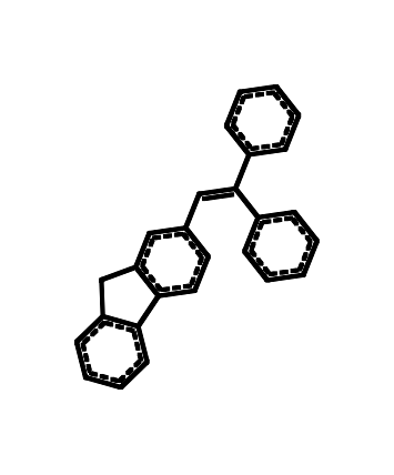 C(=C(c1ccccc1)c1ccccc1)c1ccc2c(c1)Cc1ccccc1-2